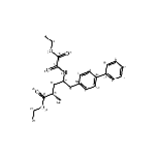 CCOC(=O)C(=O)NC(Cc1ccc(-c2ccccc2)cc1)C[C@@H](C)C(=O)OCC